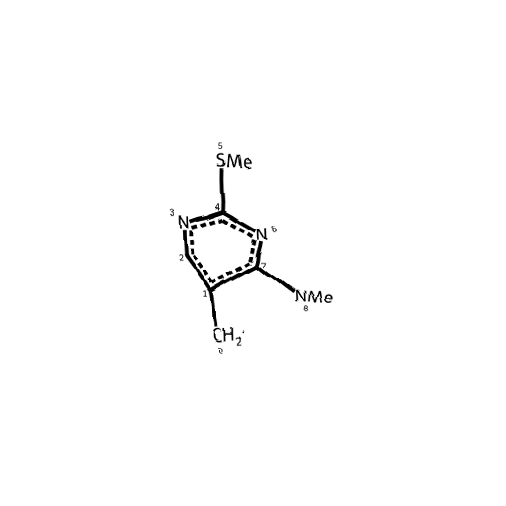 [CH2]c1cnc(SC)nc1NC